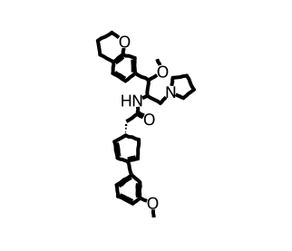 COc1cccc(C2=CC[C@@H](CC(=O)NC(CN3CCCC3)C(OC)c3ccc4c(c3)OCCC4)C=C2)c1